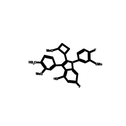 COc1cc(-n2c(C3CCC3OC)c(-c3ccc(C(=O)O)c(OC)c3)c3c(O)cc(F)cc32)ccc1F